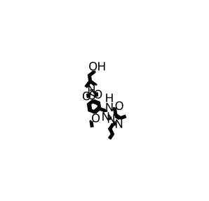 CCCc1nc(C)c2c(=O)[nH]c(-c3cc(S(=O)(=O)N4CC(CCO)C4)ccc3OCC)nn12